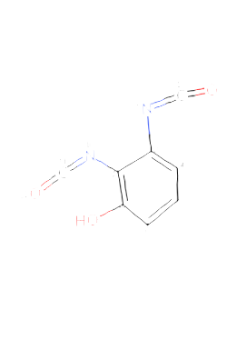 O=C=Nc1cccc(O)c1N=C=O